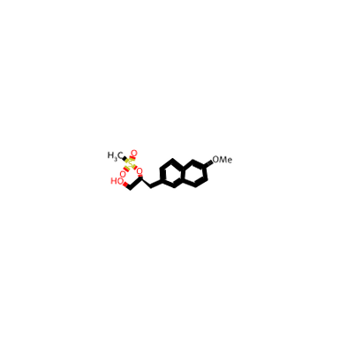 COc1ccc2cc(C[C@@H](CO)OS(C)(=O)=O)ccc2c1